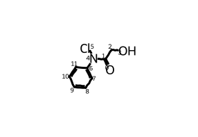 O=C(CO)N(Cl)c1ccccc1